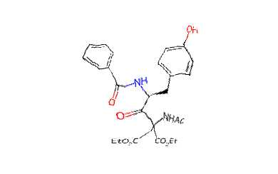 CCOC(=O)C(NC(C)=O)(C(=O)OCC)C(=O)[C@H](Cc1ccc(O)cc1)NC(=O)c1ccccc1